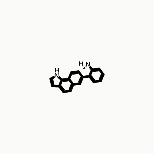 Nc1ccccc1-c1ccc2c(ccc3cc[nH]c32)c1